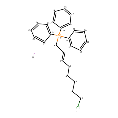 ClCCCCCC=CC[P+](c1ccccc1)(c1ccccc1)c1ccccc1.[I-]